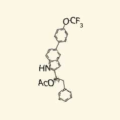 CC(=O)O[C@H](Cc1ccccc1)c1cc2cc(-c3ccc(OC(F)(F)F)cc3)ccc2[nH]1